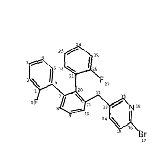 Fc1ccccc1-c1cccc(Cc2ccc(Br)nc2)c1-c1ccccc1F